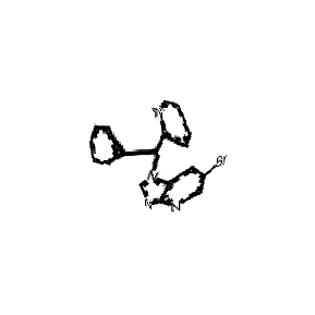 Brc1cnc2ncn(C(c3ccccc3)c3ccccn3)c2c1